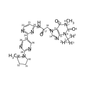 [2H]C([2H])([2H])n1c(=O)n(C)c(=O)c2c1ncn2CC(=O)Nc1ccnc(-c2cnc(N3CCC[C@@H]3C)nc2)n1